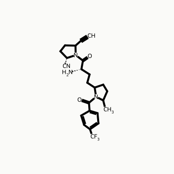 C#CC1CC[C@@H](C#N)N1C(=O)[C@@H](N)CCC1CCC(C)N1C(=O)c1ccc(C(F)(F)F)cc1